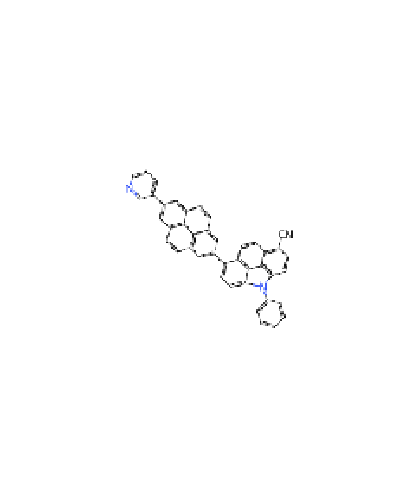 N#Cc1ccc2c3c1ccc1c(-c4cc5ccc6cc(-c7cccnc7)cc7ccc(c4)c5c67)ccc(c13)n2-c1ccccc1